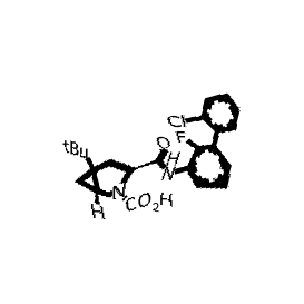 CC(C)(C)C12C[C@@H](C(=O)Nc3cccc(-c4ccccc4Cl)c3F)N(C(=O)O)[C@@H]1C2